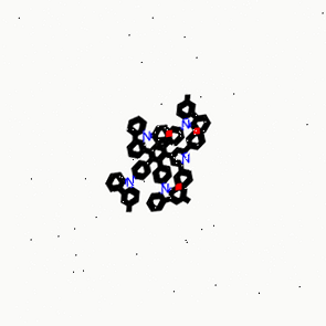 Cc1ccc2c(c1)c1ccccc1n2-c1ccc(-c2cc(-c3cccc4c5ccccc5n(-c5ccccc5)c34)c(-c3ccc(-n4c5ccccc5c5cc(C)ccc54)cc3)c(-c3ccc(-n4c5ccccc5c5cc(C)ccc54)cc3)c2-c2cc(-c3ccccc3)nc(-c3ccccc3)c2)cc1